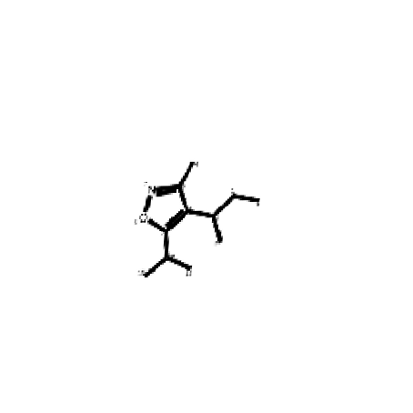 CCC(C)c1c(C)noc1C(C)C